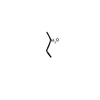 CCCC.O